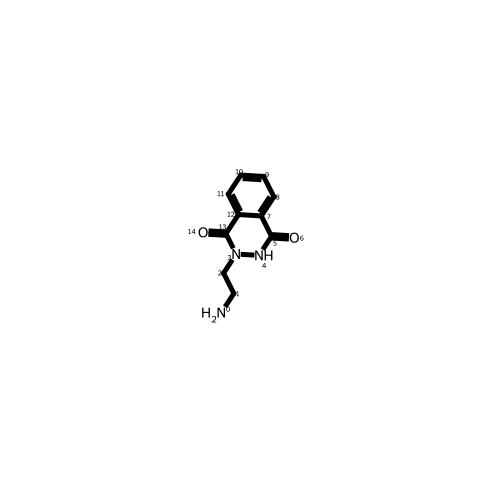 NCCn1[nH]c(=O)c2ccccc2c1=O